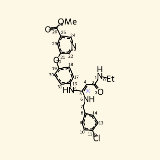 CCNC(=O)/C=C(\NCc1ccc(Cl)cc1)Nc1ccc(Oc2cncc(C(=O)OC)c2)cc1